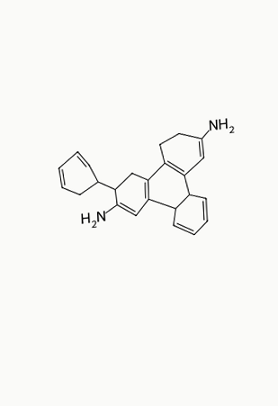 NC1=CC2=C(CC1)C1=C(C=C(N)C(C3C=CC=CC3)C1)C1C=CC=CC21